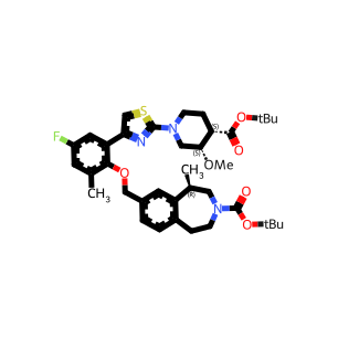 CO[C@@H]1CN(c2nc(-c3cc(F)cc(C)c3OCc3ccc4c(c3)[C@@H](C)CN(C(=O)OC(C)(C)C)CC4)cs2)CC[C@@H]1C(=O)OC(C)(C)C